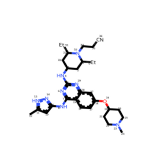 CCC1CC(Nc2nc(Nc3cc(C)[nH]n3)c3ccc(OC4CCN(C)CC4)cc3n2)CC(CC)N1CCC#N